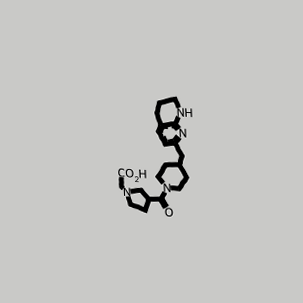 O=C(O)CN1CCC(C(=O)N2CCC(Cc3ccc4c(n3)NCCC4)CC2)C1